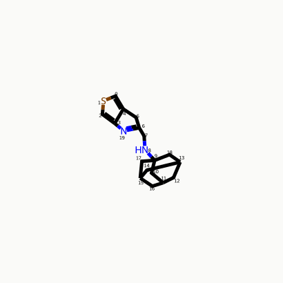 c1scc2c1CC(CNC13CC4CC(CC(C4)C1)C3)=N2